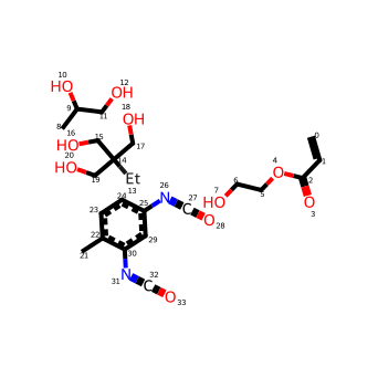 C=CC(=O)OCCO.CC(O)CO.CCC(CO)(CO)CO.Cc1ccc(N=C=O)cc1N=C=O